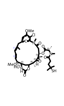 COc1cc2cc(c1Cl)N(C)C(=O)C[C@H](OC(=O)[C@H](C)N(C)C(=O)CCC(C)(C)S)[C@]1(C)O[C@H]1[C@H](C)C1C[C@@](O)(NC(=O)O1)[C@H](OC)/C=C/C=C(\C)C2